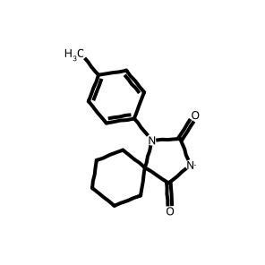 Cc1ccc(N2C(=O)[N]C(=O)C23CCCCC3)cc1